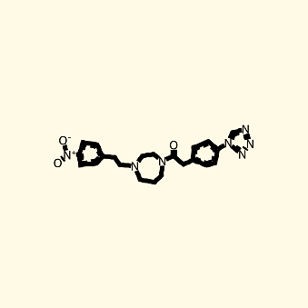 O=C(Cc1ccc(-n2cnnn2)cc1)N1CCCN(CCc2ccc([N+](=O)[O-])cc2)CC1